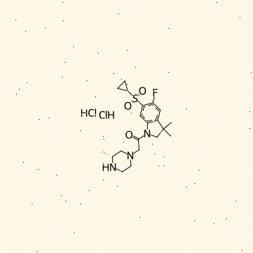 C[C@@H]1CN(CC(=O)N2CC(C)(C)c3cc(F)c(S(=O)(=O)C4CC4)cc32)CCN1.Cl.Cl